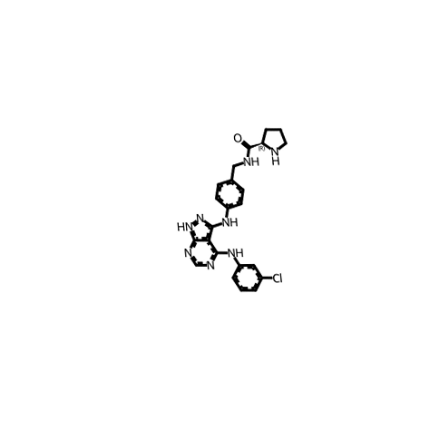 O=C(NCc1ccc(Nc2n[nH]c3ncnc(Nc4cccc(Cl)c4)c23)cc1)[C@H]1CCCN1